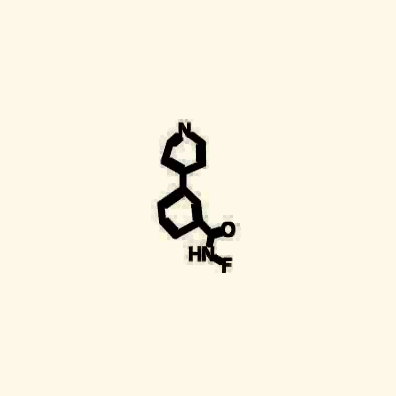 O=C(NF)c1cccc(-c2ccncc2)c1